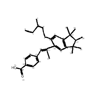 CCC(C)CCc1cc2c(cc1C(C)=Cc1ccc(C(=O)O)cc1)C(C)(C)C(C)C2(C)C